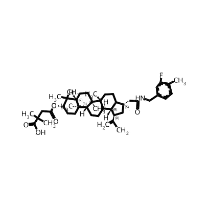 C=C(C)[C@@H]1C[C@@H](CC(=O)NCc2ccc(C)c(F)c2)C2CC[C@]3(C)[C@H](CC[C@@H]4[C@@]5(C)CC[C@H](OC(=O)CC(C)(C)C(=O)O)C(C)(C)[C@@H]5CC[C@]43C)[C@H]21